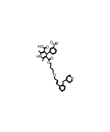 CC1=C(C(=O)O)C(c2cccc([N+](=O)[O-])c2)C(C(=O)OCCCCOC/C=C/c2ccccc2Cc2ccncc2)=C(C)N1